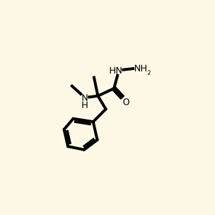 CNC(C)(Cc1ccccc1)C(=O)NN